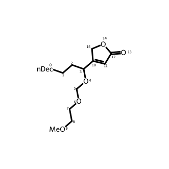 CCCCCCCCCCCCC(OCOCCOC)C1=CC(=O)OC1